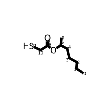 CCCCCC(C)OC(=O)CS